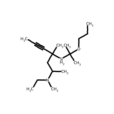 CC#CC(C)(CC(C)N(C)CC)[SiH2]C(C)(C)OCCC